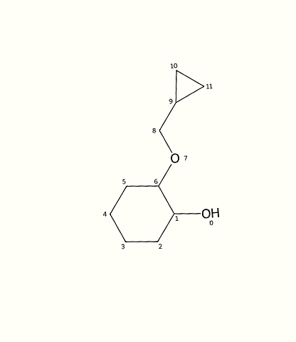 OC1CCCCC1OCC1CC1